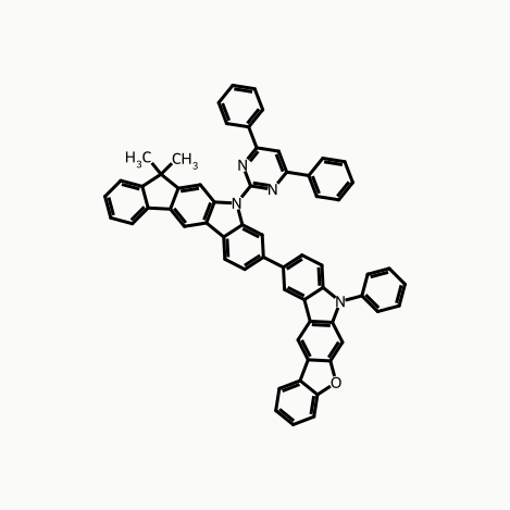 CC1(C)c2ccccc2-c2cc3c4ccc(-c5ccc6c(c5)c5cc7c(cc5n6-c5ccccc5)oc5ccccc57)cc4n(-c4nc(-c5ccccc5)cc(-c5ccccc5)n4)c3cc21